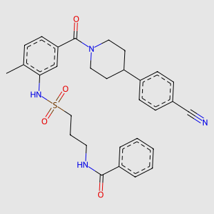 Cc1ccc(C(=O)N2CCC(c3ccc(C#N)cc3)CC2)cc1NS(=O)(=O)CCCNC(=O)c1ccccc1